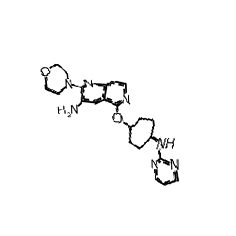 Nc1cc2c(OC3CCC(Nc4ncccn4)CC3)nccc2nc1N1CCOCC1